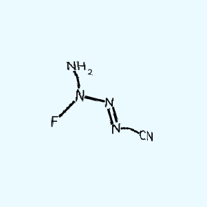 N#C/N=N/N(N)F